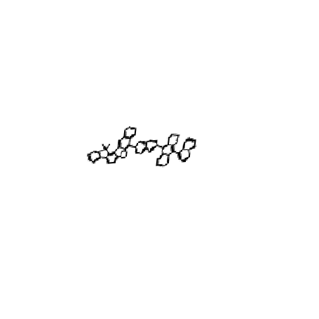 CC1(C)c2ccccc2-c2ccc3oc4c(-c5ccc6cc(-c7c8ccccc8c(-c8cccc9ccccc89)c8ccccc78)ccc6c5)c5ccccc5cc4c3c21